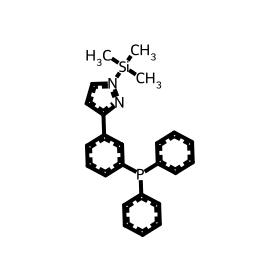 C[Si](C)(C)n1ccc(-c2cccc(P(c3ccccc3)c3ccccc3)c2)n1